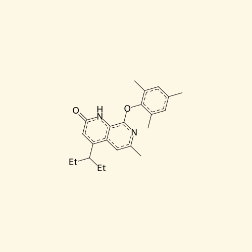 CCC(CC)c1cc(=O)[nH]c2c(Oc3c(C)cc(C)cc3C)nc(C)cc12